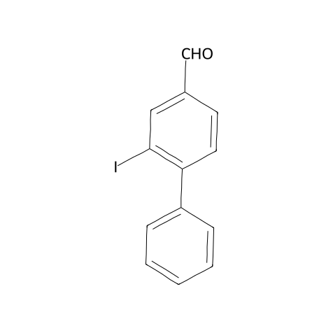 O=Cc1ccc(-c2ccccc2)c(I)c1